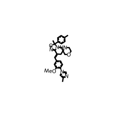 COc1cc(/C=C2\CC3(COCCN3)CN3C2=NOC3(C)c2ccc(C)cc2)ccc1-n1cnc(C)c1